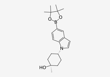 CC1(C)OB(c2ccc3c(ccn3[C@H]3CC[C@](C)(O)CC3)c2)OC1(C)C